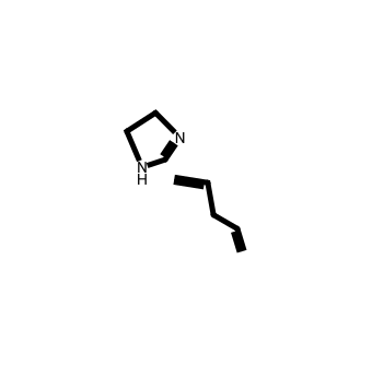 C1=NCCN1.C=CCC=C